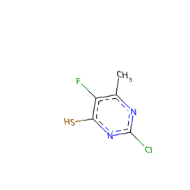 Cc1nc(Cl)nc(S)c1F